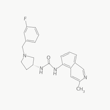 Cc1cc2c(NC(=O)N[C@@H]3CCN(Cc4cccc(F)c4)C3)cccc2cn1